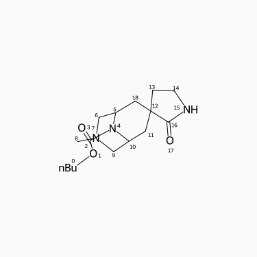 CCCCOC(=O)N1C2CN(C)CC1CC1(CCNC1=O)C2